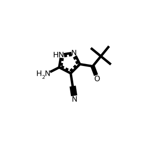 CC(C)(C)C(=O)c1n[nH]c(N)c1C#N